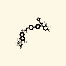 O=C1CCC(n2c(=O)n(C3COC3)c3cc(C4CCN(CC(=O)Nc5ccc6c(F)c(N7CC(=O)NS7(=O)=O)c(O)cc6c5)CC4)ccc32)C(=O)N1